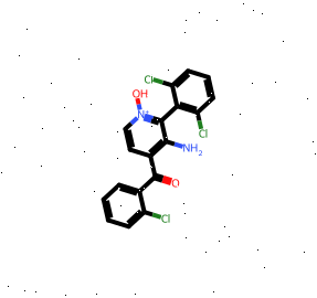 Nc1c(C(=O)c2ccccc2Cl)cc[n+](O)c1-c1c(Cl)cccc1Cl